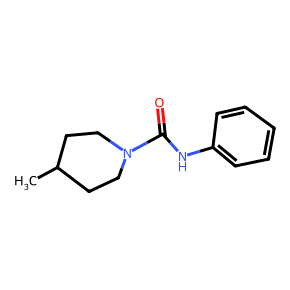 CC1CCN(C(=O)Nc2ccccc2)CC1